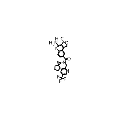 C[C@H]1OCc2c1c(N)nc1ccc(C(=O)N(Cc3ccc(C(F)(F)F)cn3)[C@H]3CC34CCCC4)cc21